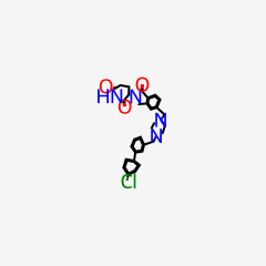 O=C1CCC(N2Cc3cc(CN4CCN(Cc5cccc(-c6ccc(Cl)cc6)c5)CC4)ccc3C2=O)C(=O)N1